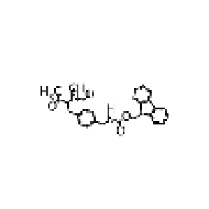 CC(=O)C(Cc1ccc(CNC(=O)OCC2c3ccccc3-c3ccccc32)cc1)N(C)C=O